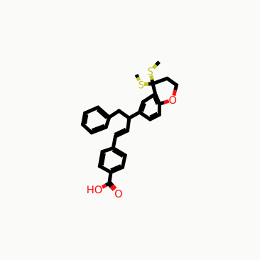 CSC1(SC)CCOc2ccc(C(C=Cc3ccc(C(=O)O)cc3)Cc3ccccc3)cc21